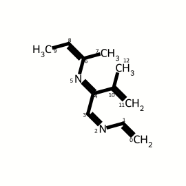 C=C\N=C/C(=N/C(C)=C\C)C(=C)C